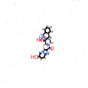 O=C(c1cn2cc(O)ccc2n1)N1CC[C@]2(Cc3ccccc3CN2)[C@H](O)C1